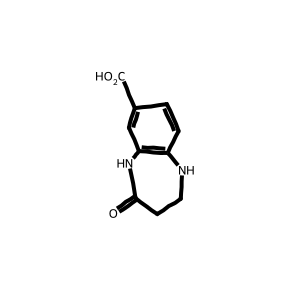 O=C1CCNc2ccc(C(=O)O)cc2N1